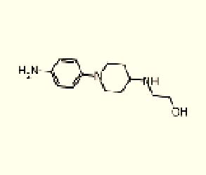 Nc1ccc(N2CCC(NCCO)CC2)cc1